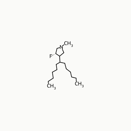 CCCCCCC(CCCCCC)C1CN(C)C[C@H]1F